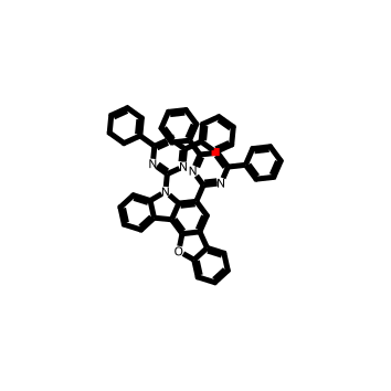 C1=CCCC(c2nc(-c3ccccc3)nc(-n3c4ccccc4c4c5oc6ccccc6c5cc(-c5nc(-c6ccccc6)cc(-c6ccccc6)n5)c43)n2)=C1